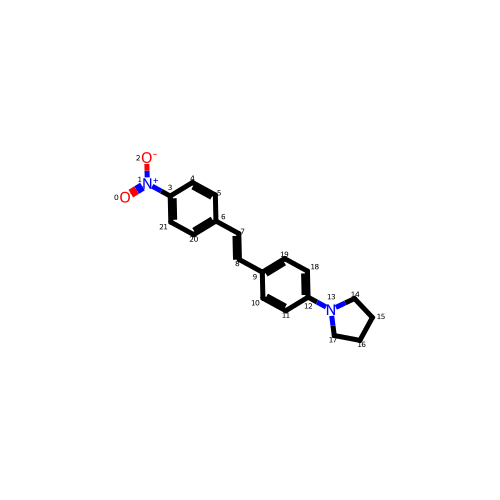 O=[N+]([O-])c1ccc(C=Cc2ccc(N3CCCC3)cc2)cc1